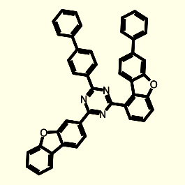 c1ccc(-c2ccc(-c3nc(-c4ccc5c(c4)oc4ccccc45)nc(-c4cccc5oc6cc(-c7ccccc7)ccc6c45)n3)cc2)cc1